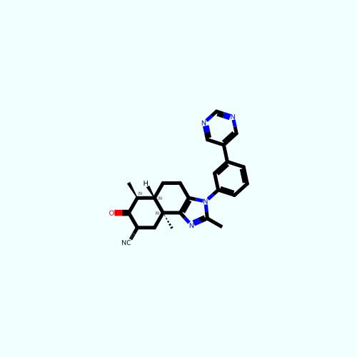 Cc1nc2c(n1-c1cccc(-c3cncnc3)c1)CC[C@H]1[C@H](C)C(=O)C(C#N)C[C@]21C